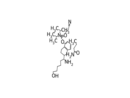 CC(C)N(C(C)C)P(OCCC#N)Oc1cccc2c1CCC(C(N)CCCCCO)C2.CCCC(N)=O